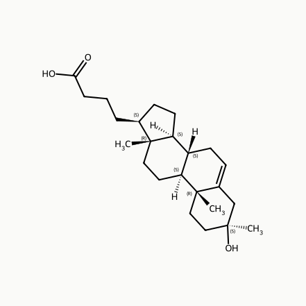 C[C@]1(O)CC[C@@]2(C)C(=CC[C@H]3[C@@H]4CC[C@H](CCCC(=O)O)[C@@]4(C)CC[C@@H]32)C1